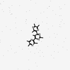 Cc1nc(-c2nc(C)c(C)nc2C)c(C)c(-c2nc(C)c(C)nc2C)n1